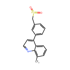 O=[SH](=O)Cc1cccc(-c2ccnc3c(C(F)(F)F)cccc23)c1